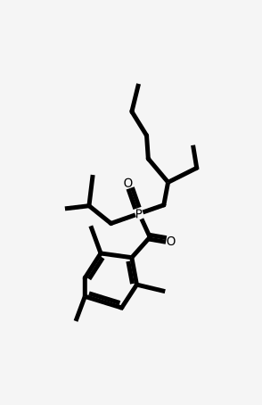 CCCCC(CC)CP(=O)(CC(C)C)C(=O)c1c(C)cc(C)cc1C